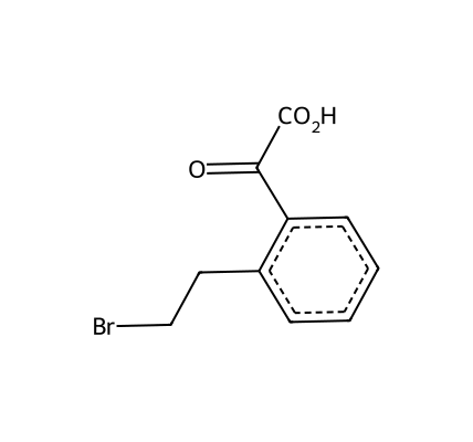 O=C(O)C(=O)c1ccccc1CCBr